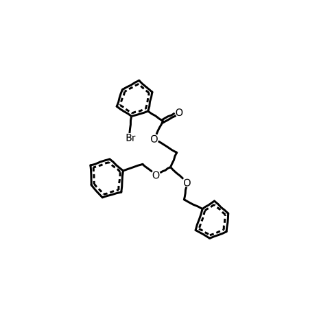 O=C(OCC(OCc1ccccc1)OCc1ccccc1)c1ccccc1Br